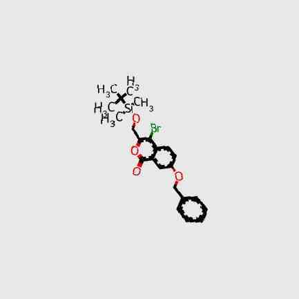 CC(C)(C)[Si](C)(C)OCc1oc(=O)c2cc(OCc3ccccc3)ccc2c1Br